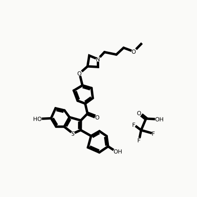 COCCCN1CC(Oc2ccc(C(=O)c3c(-c4ccc(O)cc4)sc4cc(O)ccc34)cc2)C1.O=C(O)C(F)(F)F